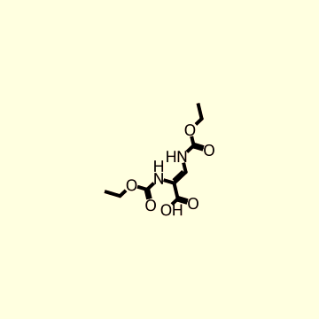 CCOC(=O)NC=C(NC(=O)OCC)C(=O)O